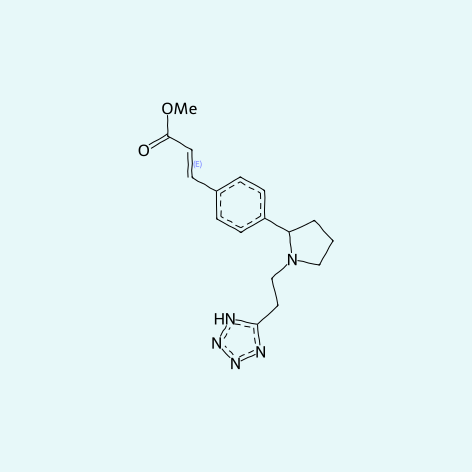 COC(=O)/C=C/c1ccc(C2CCCN2CCc2nnn[nH]2)cc1